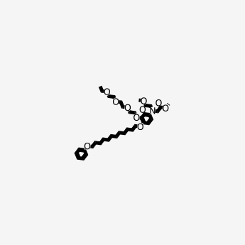 CCOCCOCCOCCOc1cc(N(CC(=O)OC)CC(=O)OC)ccc1OCCCCCCCCCCCCOc1ccccc1